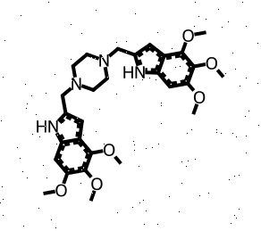 COc1cc2[nH]c(CN3CCN(Cc4cc5c(OC)c(OC)c(OC)cc5[nH]4)CC3)cc2c(OC)c1OC